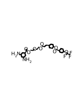 Nc1cc(N)cc(C(=O)OCCOCCOC(=O)C=Cc2ccc(OC(=O)c3ccc(OC(F)C(F)F)cc3)cc2)c1